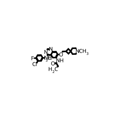 C=CC(=O)NC1=C(OCC2CC3(CCN(C)CC3)C2)C=C2N=CN=C(Nc3ccc(F)c(Cl)c3)C2(C)C1